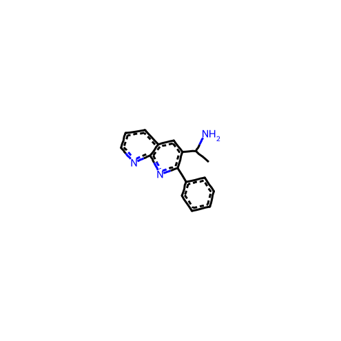 CC(N)c1cc2cccnc2nc1-c1ccccc1